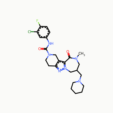 CN1CC(CN2CCCCC2)Cn2nc3c(c2C1=O)CN(C(=O)Nc1ccc(F)c(Cl)c1)CC3